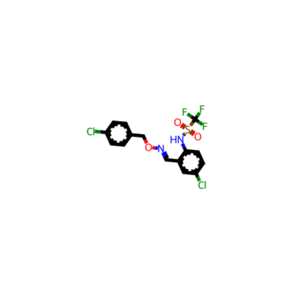 O=S(=O)(Nc1ccc(Cl)cc1/C=N/OCc1ccc(Cl)cc1)C(F)(F)F